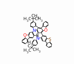 CC(C)(C)c1ccc(N2B3c4cc5c(cc4-n4c6ccc(C(C)(C)C)cc6c6c7c(oc8ccccc87)c(c3c64)-c3cc4sc6ccccc6c4cc32)oc2ccccc25)cc1